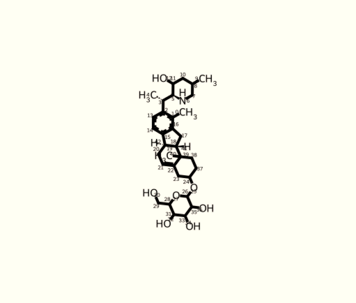 Cc1c([C@H](C)[C@@H]2NCC(C)CC2O)ccc2c1C[C@H]1[C@H]2CC=C2CC(OC3OC(CO)C(O)C(O)C3O)CCC21C